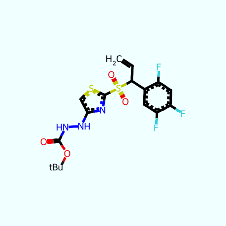 C=CC(c1cc(F)c(F)cc1F)S(=O)(=O)c1nc(NNC(=O)OC(C)(C)C)cs1